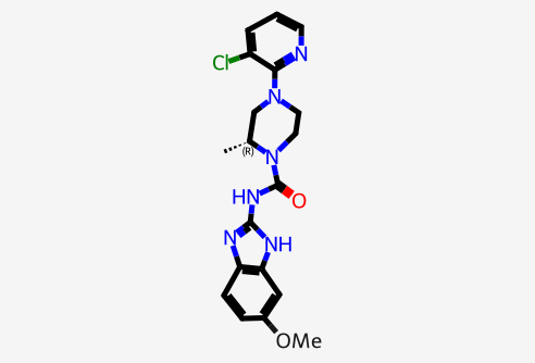 COc1ccc2nc(NC(=O)N3CCN(c4ncccc4Cl)C[C@H]3C)[nH]c2c1